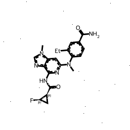 CCc1cc(C(N)=O)ccc1N(C)c1cc2c(ncn2C)c(NC(=O)[C@H]2C[C@H]2F)n1